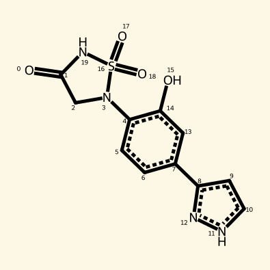 O=C1CN(c2ccc(-c3cc[nH]n3)cc2O)S(=O)(=O)N1